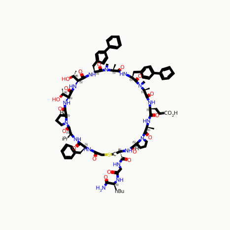 CCCC[C@H](NC(=O)CNC(=O)[C@@H]1CSCC(=O)N[C@@H](Cc2ccccc2)C(=O)N[C@@H](C(C)C)C(=O)N2CCC[C@H]2C(=O)N[C@@H]([C@@H](C)O)C(=O)N[C@@H]([C@@H](C)O)C(=O)N[C@@H](Cc2ccc(-c3ccccc3)cc2)C(=O)N(C)[C@@H](C)C(=O)N[C@@H](Cc2ccc(-c3ccccc3)cc2)C(=O)N(C)[C@@H](C)C(=O)N[C@@H](CCC(=O)O)C(=O)N[C@@H](C)C(=O)N2CCC[C@H]2C(=O)N1)C(N)=O